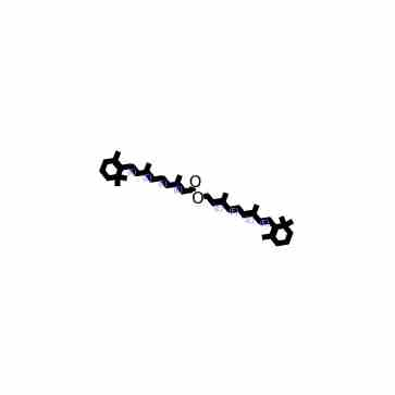 CC1=C(/C=C/C(C)=C/C=C/C(C)=C/COC(=O)/C=C(C)/C=C/C=C(C)/C=C/C2=C(C)CCCC2(C)C)C(C)(C)CCC1